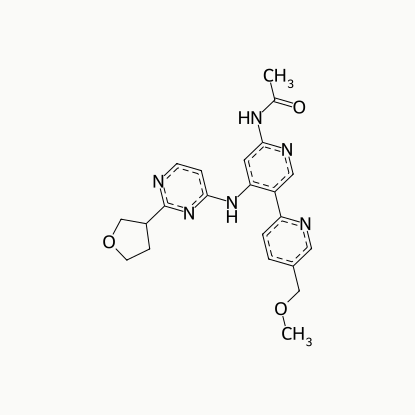 COCc1ccc(-c2cnc(NC(C)=O)cc2Nc2ccnc(C3CCOC3)n2)nc1